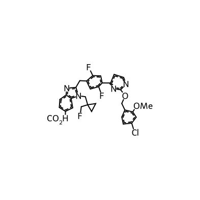 COc1cc(Cl)ccc1COc1nccc(-c2cc(F)c(Cc3nc4ccc(C(=O)O)cc4n3CC3(CF)CC3)cc2F)n1